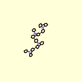 c1ccc(-n2c3ccccc3c3cc(-c4ccc5c6ccccc6n(-c6ccc(-c7cccc8c7c7ccc(-c9cccc(-n%10c%11ccccc%11c%11ccccc%11%10)c9)cc7n8-c7ccccc7)cc6)c5c4)ccc32)cc1